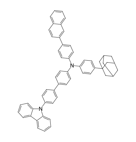 c1ccc2cc(-c3ccc(N(c4ccc(-c5ccc(-n6c7ccccc7c7ccccc76)cc5)cc4)c4ccc(C56CC7CC(CC(C7)C5)C6)cc4)cc3)ccc2c1